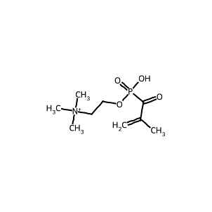 C=C(C)C(=O)P(=O)(O)OCC[N+](C)(C)C